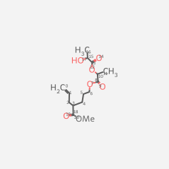 C=CCC(CCCOC(=O)C(C)OC(=O)C(C)O)C(=O)OC